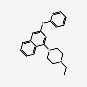 CCN1CCN(c2nc(Sc3ccccn3)cc3ccccc23)CC1